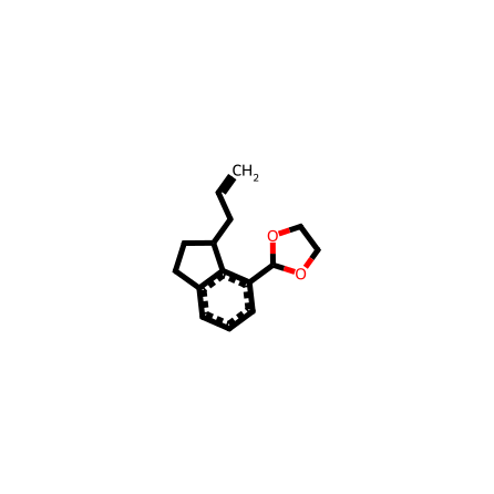 C=CCC1CCc2cccc(C3OCCO3)c21